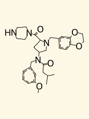 COc1cccc(CN(C(=O)CC(C)C)C2CC(C(=O)N3CCNCC3)N(Cc3ccc4c(c3)OCCO4)C2)c1